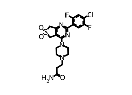 NC(=O)CCN1CCN(c2nc(-c3cc(F)c(Cl)cc3F)nc3c2CS(=O)(=O)C3)CC1